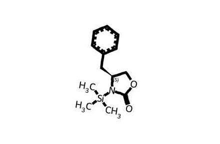 C[Si](C)(C)N1C(=O)OC[C@@H]1Cc1ccccc1